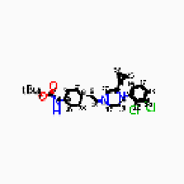 CC(C)(C)OC(=O)N[C@H]1CC[C@H](CCN2CCN(c3cccc(Cl)c3Cl)[C@H](C3CC3)C2)CC1